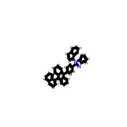 c1ccc2c(-c3c4ccccc4c(-c4ccc(-c5nc6ccccc6n5-c5cccc6ccccc56)cc4)c4ccccc34)cccc2c1